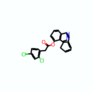 O=C(Cc1ccc(Cl)cc1Cl)Oc1cccc2c1C13CC=CC=C1C(=C2)NCC3